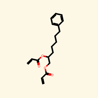 C=CC(=O)OCC(CCCCCc1ccccc1)OC(=O)C=C